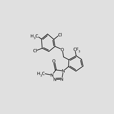 Cc1cc(Cl)c(OCc2c(-n3nnn(C)c3=O)cccc2C(F)(F)F)cc1Cl